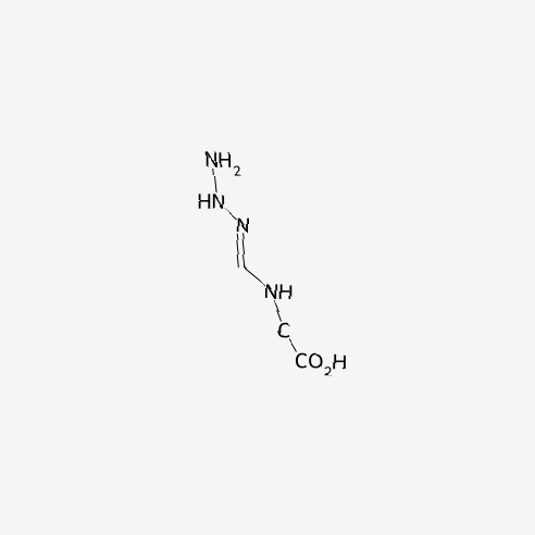 NNN=CNCC(=O)O